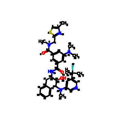 Cc1csc(CN(C)C(=O)c2cc(C(=O)N[C@@H](Cc3ccccc3)[C@H](O)CN(C)c3cncc(C(C)(C)F)c3)cc(N(C)C)c2)n1